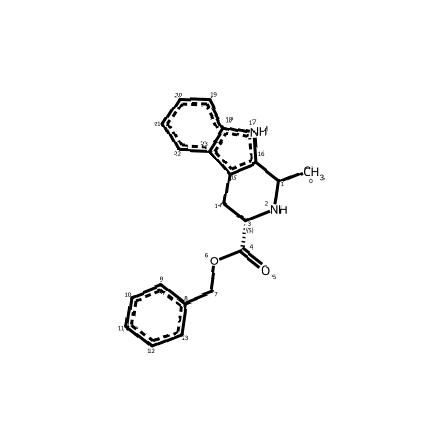 CC1N[C@H](C(=O)OCc2ccccc2)Cc2c1[nH]c1ccccc21